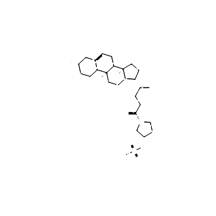 CC(CCC(=O)N1CC[C@H](NS(C)(=O)=O)C1)[C@H]1CC[C@H]2[C@@H]3CC=C4C[C@@H](O)CC[C@]4(C)[C@H]3CC[C@]12C